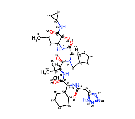 CCCC(NC(=O)[C@@H]1[C@H]2CCCC2CN1C(=O)[C@@H](NC(=O)[C@@H](NC(=O)Cc1nnn[nH]1)C1CCCCC1)C(C)(C)C)C(=O)C(=O)NC1CC1